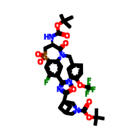 CC(C)(C)OC(=O)N[C@H]1CS(=O)(=O)c2cc(F)c(-c3noc(C45CC(CN(C(=O)OC(C)(C)C)C4)C5)n3)cc2N(Cc2ccc(OC(F)(F)F)cc2)C1=O